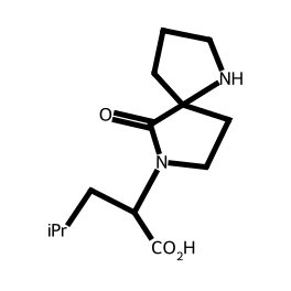 CC(C)CC(C(=O)O)N1CCC2(CCCN2)C1=O